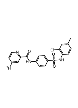 [3H]c1ccnc(C(=O)Nc2ccc(S(=O)(=O)Nc3ccc(C)cc3Cl)cc2)c1